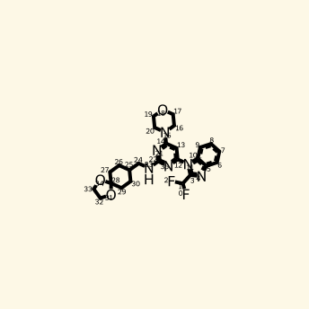 FC(F)c1nc2ccccc2n1-c1cc(N2CCOCC2)nc(NCC2CCC3(CC2)OCCO3)n1